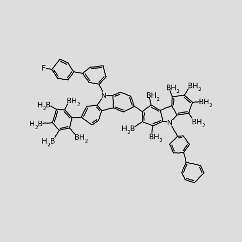 Bc1c(B)c(B)c(-c2ccc3c4cc(-c5c(B)c(B)c6c(c5B)c5c(B)c(B)c(B)c(B)c5n6-c5ccc(-c6ccccc6)cc5)ccc4n(-c4cccc(-c5ccc(F)cc5)c4)c3c2)c(B)c1B